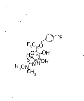 CN(C)C1=N[C@@H]2[C@@H](O)[C@H](O)C([C@@H](OCc3ccc(CF)cc3)C(F)(F)F)O[C@@H]2S1